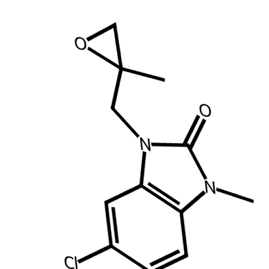 Cn1c(=O)n(CC2(C)CO2)c2cc(Cl)ccc21